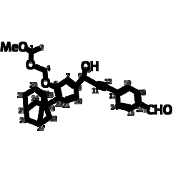 COC(C)OCOc1cc(C(O)C#Cc2ccc(C=O)cc2)ccc1C12CC3CC(CC(C3)C1)C2